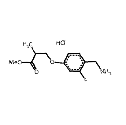 COC(=O)C(C)COc1ccc(CN)c(F)c1.Cl